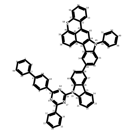 c1ccc(-c2ccc(-c3nc(-c4ccccc4)nc(-n4c5ccccc5c5cc(-c6ccc7c(c6)c6c8cccc9c8c(cc6n7-c6ccccc6)-c6ccccc6S9)ccc54)n3)cc2)cc1